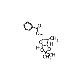 C[C@H]1[C@H]2OC(C)(C)O[C@H]2O[C@@H]1COC(=O)c1ccccc1